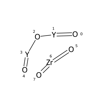 [O]=[Y][O][Y]=[O].[O]=[Zr]=[O]